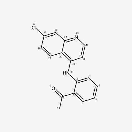 CC(=O)c1ccccc1Nc1ccnc2cc(Cl)ccc12